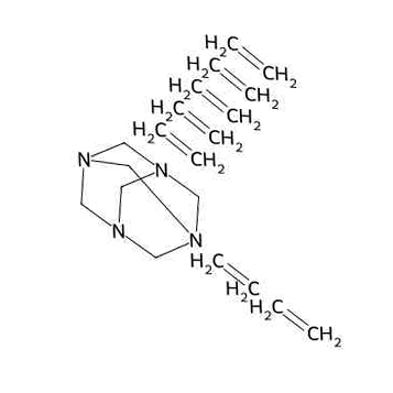 C1N2CN3CN1CN(C2)C3.C=C.C=C.C=C.C=C.C=C.C=C.C=C